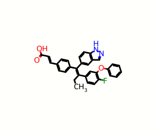 CCC(=C(c1ccc(C=CC(=O)O)cc1)c1ccc2[nH]ncc2c1)c1ccc(F)c(Oc2ccccc2)c1